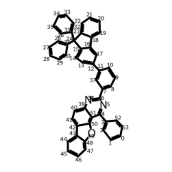 c1ccc(-c2nc(-c3cccc(-c4ccc5c(c4)-c4ccccc4C5(c4ccccc4)c4ccccc4)c3)nc3ccc4c5ccccc5oc4c23)cc1